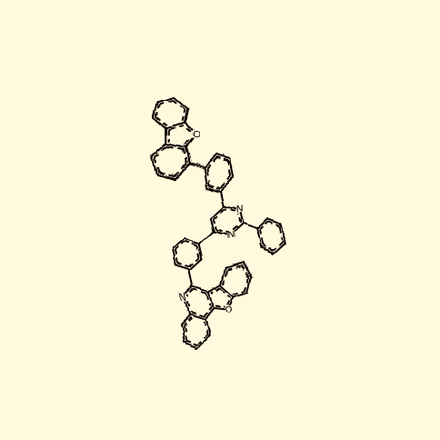 c1ccc(-c2nc(-c3cccc(-c4cccc5c4oc4ccccc45)c3)cc(-c3cccc(-c4nc5ccccc5c5oc6ccccc6c45)c3)n2)cc1